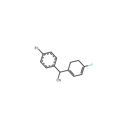 CCc1ccc(C(C#N)C2=CC=C(F)CC2)cc1